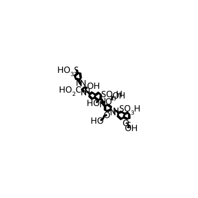 O=C(O)c1nn(-c2ccc3c(O)c(/N=N/c4cc(OCCO)c(/N=N/c5ccc6c(OSO)cccc6c5S(=O)(=O)O)cc4OCCO)c(S(=O)(=O)O)cc3c2)c(O)c1/N=N/c1ccc(S(=O)(=O)O)cc1